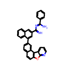 N=C(/N=C(\N)c1ccccc1)c1cc(-c2ccc3ccc4oc5ncccc5c4c3c2)c2ccccc2c1